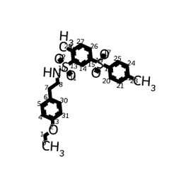 CCOc1ccc(CCNS(=O)(=O)c2cc(S(=O)(=O)c3ccc(C)cc3)ccc2C)cc1